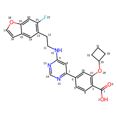 O=C(O)c1ccc(-c2cc(NCCc3cc4ccoc4cc3F)ncn2)cc1OC1CCC1